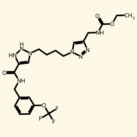 CCOC(=O)NCc1cn(CCCCN2C=C(C(=O)NCc3cccc(OC(F)(F)F)c3)NN2)nn1